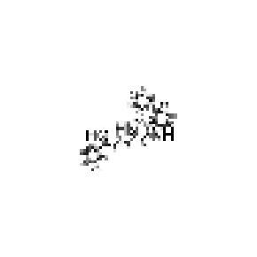 OC(CCCC1Cc2[nH]c3cccc(-c4ccccc4)c3c2CN1)c1ccccc1